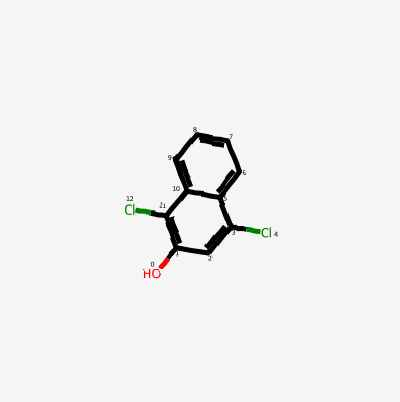 Oc1cc(Cl)c2ccccc2c1Cl